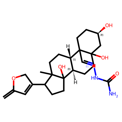 C=C1C=C(C2CCC3(O)[C@@H]4CCC5(O)C[C@H](O)CCC5(/C=N/NC(N)=O)[C@H]4CCC23C)CO1